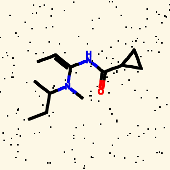 C/C=C(/NC(=O)C1CC1)N(C)C(C)CC